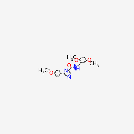 CCOc1ccc(-c2cncc(C(=O)NN=Cc3cc(OC)ccc3OC)n2)cc1